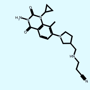 Cc1c(N2CCC(CNCCC#N)C2)ccc2c(=O)n(N)c(=O)n(C3CC3)c12